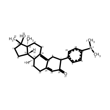 CN(C)c1ccc(C2CC3=C4CC[C@@]5(C)[C@@H](CCC5(C)O)[C@@H]4CCC3=CC2=O)cc1